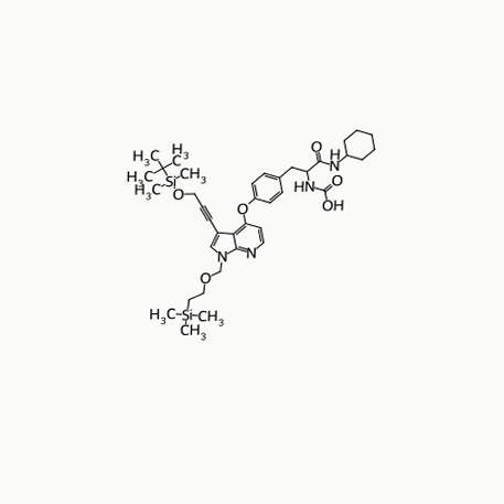 CC(C)(C)[Si](C)(C)OCC#Cc1cn(COCC[Si](C)(C)C)c2nccc(Oc3ccc(CC(NC(=O)O)C(=O)NC4CCCCC4)cc3)c12